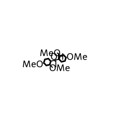 COc1ccc(C(O)(I)c2ccc(OC)cc2OC)c(OC)c1